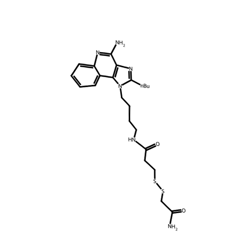 CCCCc1nc2c(N)nc3ccccc3c2n1CCCCNC(=O)CCSSCC(N)=O